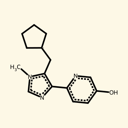 Cn1cnc(-c2ccc(O)cn2)c1C[C]1CCCC1